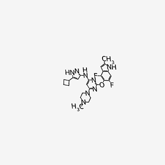 Cc1cc2c(F)c(Oc3nc(Nc4cc(C5CCC5)[nH]n4)cc(N4CCN(C)CC4)n3)c(F)cc2[nH]1